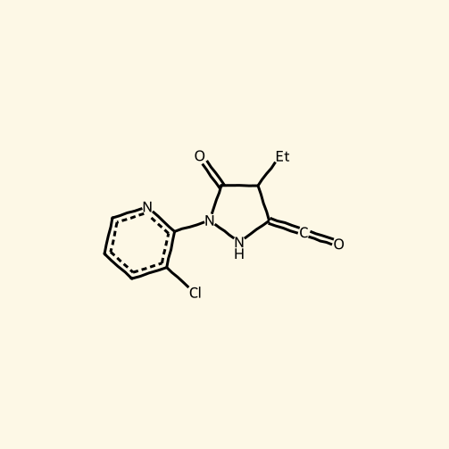 CCC1C(=O)N(c2ncccc2Cl)NC1=C=O